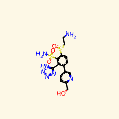 NCC[S+]([O-])c1ccc(-c2ccc(CO)nc2)c(-c2nnn[nH]2)c1S(N)(=O)=O